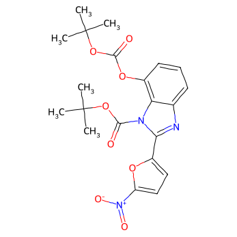 CC(C)(C)OC(=O)Oc1cccc2nc(-c3ccc([N+](=O)[O-])o3)n(C(=O)OC(C)(C)C)c12